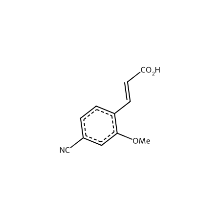 COc1cc(C#N)ccc1C=CC(=O)O